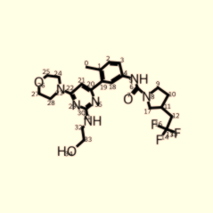 Cc1ccc(NC(=O)N2CCC(CC(F)(F)F)C2)cc1-c1cc(N2CCOCC2)nc(NCCO)n1